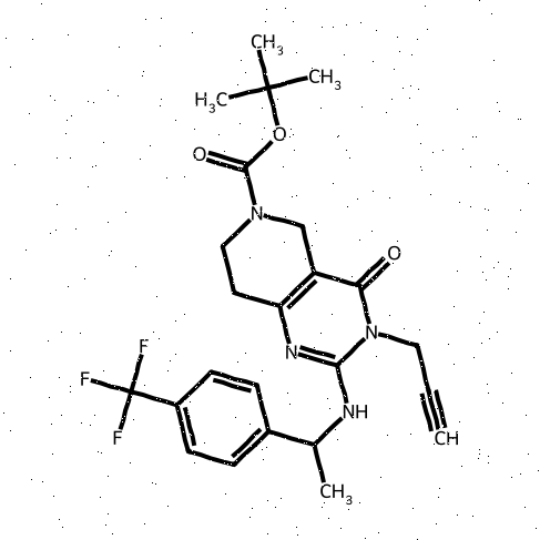 C#CCn1c(NC(C)c2ccc(C(F)(F)F)cc2)nc2c(c1=O)CN(C(=O)OC(C)(C)C)CC2